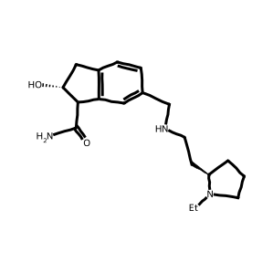 CCN1CCC[C@@H]1CCNCc1ccc2c(c1)C(C(N)=O)[C@H](O)C2